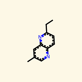 CCc1ccc2ncc(C)cc2n1